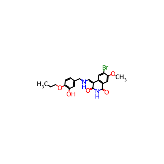 CCCOc1ccc(CNC=C2C(=O)NC(=O)c3cc(OC)c(Br)cc32)cc1O